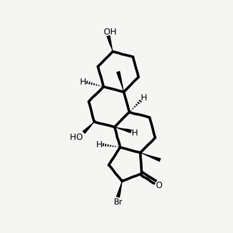 C[C@]12CC[C@H](O)C[C@@H]1C[C@H](O)[C@@H]1[C@@H]2CC[C@]2(C)C(=O)[C@@H](Br)C[C@@H]12